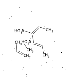 C=CC.CC=CC(=CC)S(=O)(=O)O.CS(=O)(=O)O